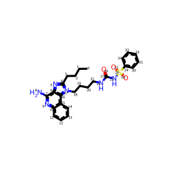 CCCCc1nc2c(N)nc3ccccc3c2n1CCCCNC(=O)NS(=O)(=O)c1ccccc1